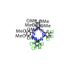 COc1c(OC)c(OC)c2c(c1OC)-c1nc-2nc2c3c(Cl)c(Cl)c(Cl)c(Cl)c3c(nc3nc(nc4[nH]c(n1)c1c(OC)c(OC)c(OC)c(OC)c41)-c1cc(Cl)c(Cl)c(Cl)c1-3)n2Cl